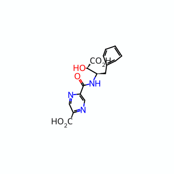 O=C(O)c1cnc(C(=O)N[C@H](Cc2ccccc2)[C@@H](O)C(=O)O)cn1